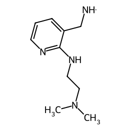 CN(C)CCNc1ncccc1C[NH]